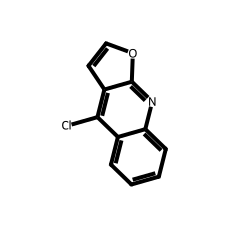 Clc1c2ccccc2nc2occc12